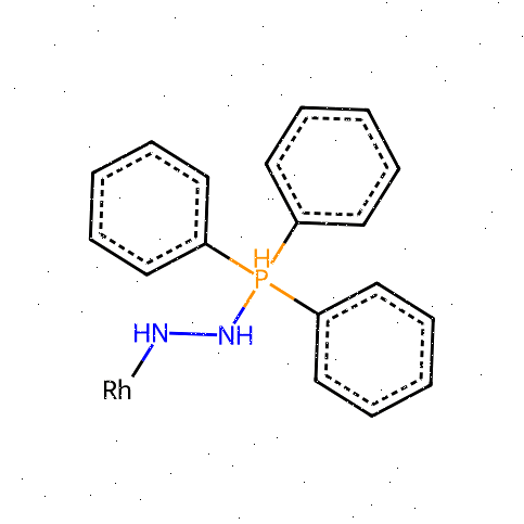 [Rh][NH]N[PH](c1ccccc1)(c1ccccc1)c1ccccc1